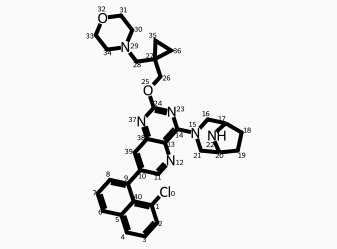 Clc1cccc2cccc(-c3cnc4c(N5CC6CCC(C5)N6)nc(OCC5(CN6CCOCC6)CC5)nc4c3)c12